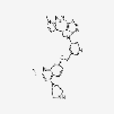 CCc1cc(N2CCNCC2)c2ccc(OCc3cncc(-n4cc(-c5ccn(C)n5)c5c(N)ncnc54)c3)cc2n1